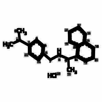 CC(C)c1ccc(CNC(C)c2cccc3ccccc23)cc1.Cl